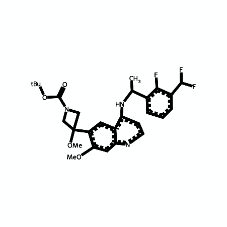 COc1cc2nccc(NC(C)c3cccc(C(F)F)c3F)c2cc1C1(OC)CN(C(=O)OC(C)(C)C)C1